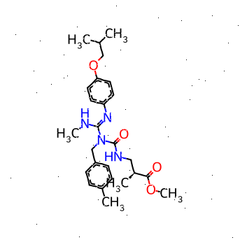 CN/C(=N\c1ccc(OCC(C)C)cc1)N(Cc1ccc(C)cc1)C(=O)NC[C@H](C)C(=O)OC